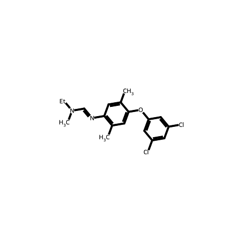 CCN(C)C=Nc1cc(C)c(Oc2cc(Cl)cc(Cl)c2)cc1C